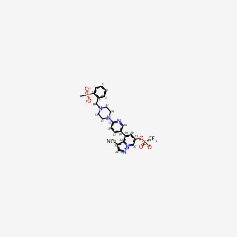 CS(=O)(=O)c1ccccc1CN1CCN(c2ccc(-c3cc(OS(=O)(=O)C(F)(F)F)cn4ncc(C#N)c34)cn2)CC1